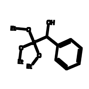 CCO[Si](OCC)(OCC)C(O)c1ccccc1